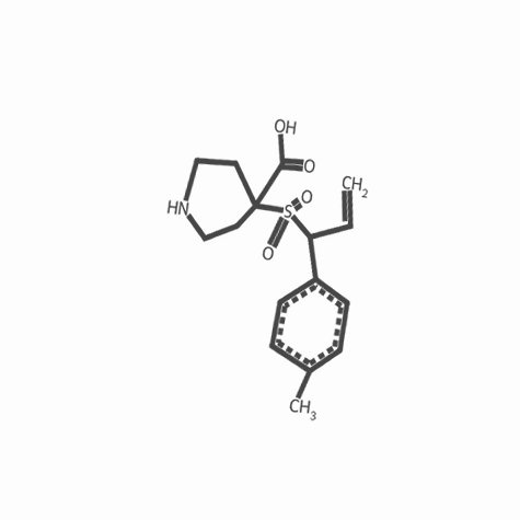 C=CC(c1ccc(C)cc1)S(=O)(=O)C1(C(=O)O)CCNCC1